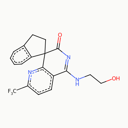 O=C1N=C(NCCO)c2ccc(C(F)(F)F)nc2C12CCc1ccccc12